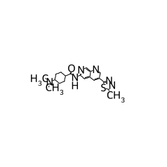 Cc1nnc(-c2cnc3cnc(NC(=O)C4CCC(N(C)C)CC4)cc3c2)s1